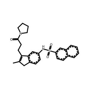 CC1=C(CCC(=O)N2CCCC2)c2cc(NS(=O)(=O)c3ccc4ccccc4c3)ccc2C1